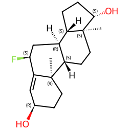 C[C@]12CC[C@H]3[C@@H](C[C@H](F)C4=C[C@H](O)CC[C@@]43C)[C@@H]1CC[C@@H]2O